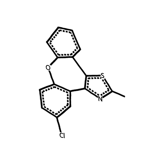 Cc1nc2c(s1)-c1ccccc1Oc1ccc(Cl)cc1-2